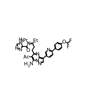 CCCN(C(=O)c1nnc[nH]1)[C@H](CC)CCc1nc2c(-c3ccc(-c4ccc(OC(F)F)cc4)nc3)cnn2c(N)c1C(C)=O